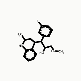 CNCC(O)C(c1cccc(F)c1)C1CC(C)Nc2ccccc21